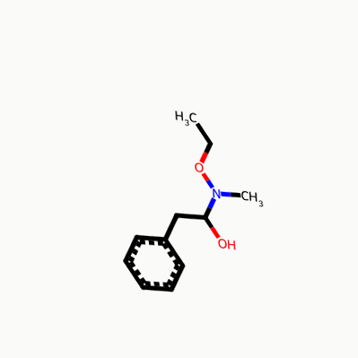 CCON(C)C(O)Cc1ccccc1